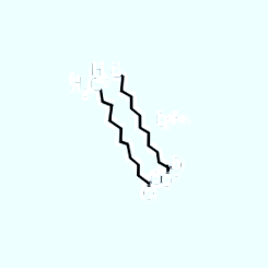 CCCCCCCCCCCC(=O)[O-].CCCCCCCCCCCC(=O)[O-].[Cr+3]